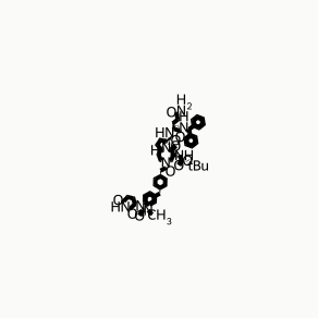 Cn1c(=O)n(C2CCC(=O)NC2=O)c2ccc(C[C@H]3CC[C@@H](CC(=O)N4CC[C@H]5CC[C@@H](C(=O)N[C@@H](CCC(N)=O)C(=O)NC(c6ccccc6)c6ccccc6)N5C(=O)[C@@H](NC(=O)OC(C)(C)C)C4)CC3)cc21